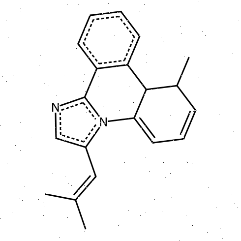 CC(C)=Cc1cnc2n1C1=CC=CC(C)C1c1ccccc1-2